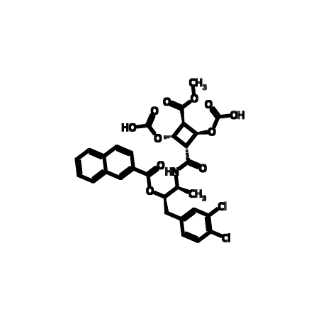 COC(=O)[C@H]1[C@@H](OC(=O)O)[C@H](C(=O)N[C@@H](C)[C@@H](Cc2ccc(Cl)c(Cl)c2)OC(=O)c2ccc3ccccc3c2)[C@@H]1OC(=O)O